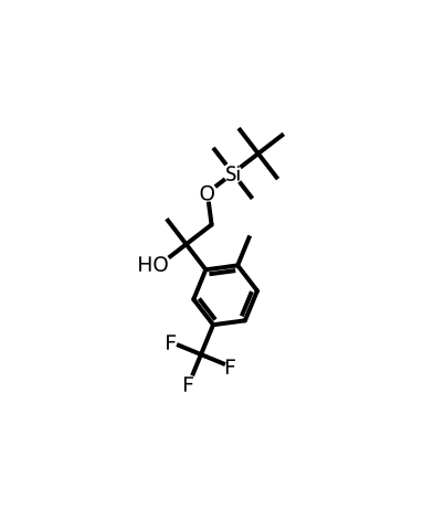 Cc1ccc(C(F)(F)F)cc1C(C)(O)CO[Si](C)(C)C(C)(C)C